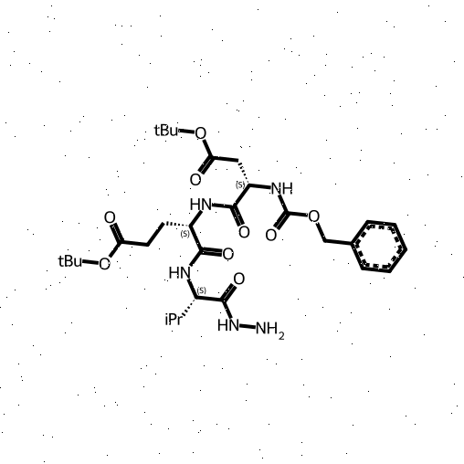 CC(C)[C@H](NC(=O)[C@H](CCC(=O)OC(C)(C)C)NC(=O)[C@H](CC(=O)OC(C)(C)C)NC(=O)OCc1ccccc1)C(=O)NN